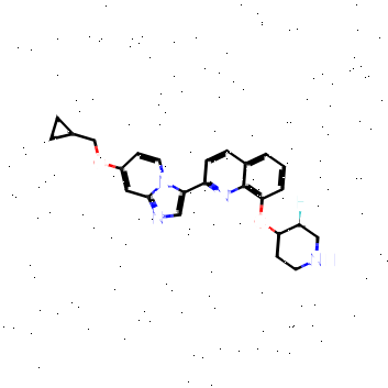 F[C@H]1CNCCC1Oc1cccc2ccc(-c3cnc4cc(OCC5CC5)ccn34)nc12